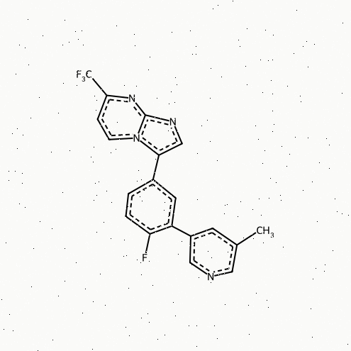 Cc1cncc(-c2cc(-c3cnc4nc(C(F)(F)F)ccn34)ccc2F)c1